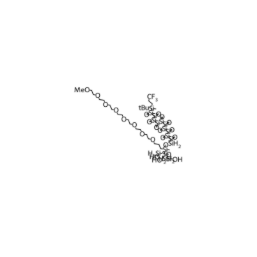 COCCOCCOCCOCCOCCOCCOCCOCCC[Si](C)(O[SiH2][Si](=O)[Si](=O)[Si](=O)[Si](=O)[Si](=O)[Si](=O)[Si](=O)[Si](=O)[Si](=O)[Si](=O)[Si](C)(CCC(F)(F)F)C(C)(C)C)[Si](O[SiH2]O)([SiH2]O)[SiH2]O